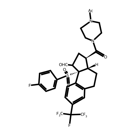 CC(=O)N1CCN(C(=O)[C@@H]2CC(C=O)[C@]3(S(=O)(=O)c4ccc(F)cc4)c4ccc(C(F)(C(F)(F)F)C(F)(F)F)cc4CC[C@@H]23)CC1